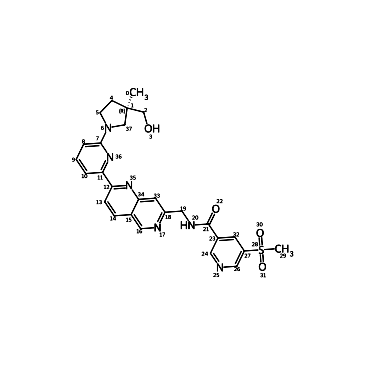 C[C@@]1(CO)CCN(c2cccc(-c3ccc4cnc(CNC(=O)c5cncc(S(C)(=O)=O)c5)cc4n3)n2)C1